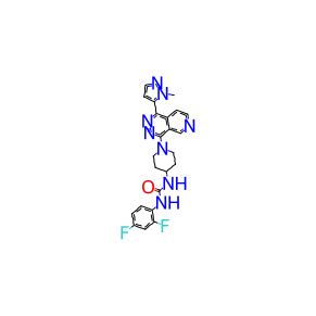 Cn1nccc1-c1nnc(N2CCC(NC(=O)Nc3ccc(F)cc3F)CC2)c2cnccc12